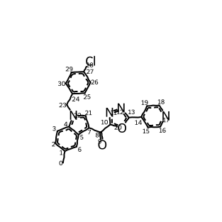 Cc1ccc2c(c1)c(C(=O)c1nnc(-c3ccncc3)o1)cn2Cc1ccc(Cl)cc1